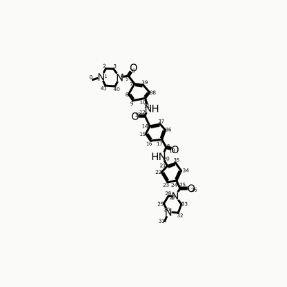 CN1CCN(C(=O)c2ccc(NC(=O)c3ccc(C(=O)Nc4ccc(C(=O)N5CCN(C)CC5)cc4)cc3)cc2)CC1